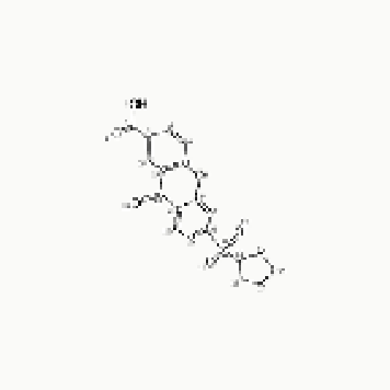 O=C(O)c1ccc2oc3cc(S(=O)(=O)C4CCCC4)ccc3c(=O)c2c1